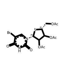 CC(=O)OC[C@H]1S[C@@H](n2cc(Br)c(=O)[nH]c2=O)C(OC(C)=O)C1OC(C)=O